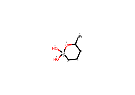 CC(C)C1CCC[Si](O)(O)O1